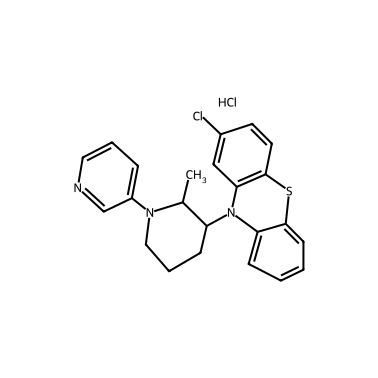 CC1C(N2c3ccccc3Sc3ccc(Cl)cc32)CCCN1c1cccnc1.Cl